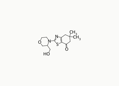 CC1(C)CC(=O)c2sc(N3CCOCC3CO)nc2C1